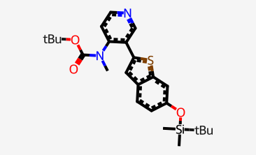 CN(C(=O)OC(C)(C)C)c1ccncc1-c1cc2ccc(O[Si](C)(C)C(C)(C)C)cc2s1